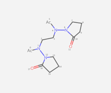 CC(=O)N(CCN(C(C)=O)N1CCCC1=O)N1CCCC1=O